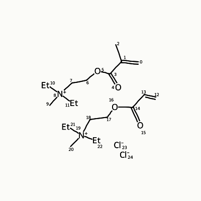 C=C(C)C(=O)OCC[N+](C)(CC)CC.C=CC(=O)OCC[N+](C)(CC)CC.[Cl-].[Cl-]